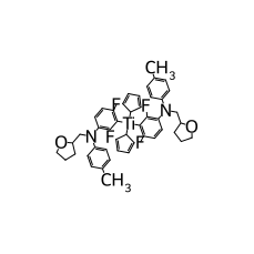 Cc1ccc(N(CC2CCCO2)c2ccc(F)[c]([Ti]([c]3c(F)ccc(N(CC4CCCO4)c4ccc(C)cc4)c3F)([CH]3C=CC=C3)[CH]3C=CC=C3)c2F)cc1